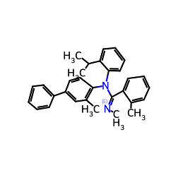 C/N=C(\c1ccccc1C)N(c1ccc(-c2ccccc2)cc1C)c1ccccc1C(C)C